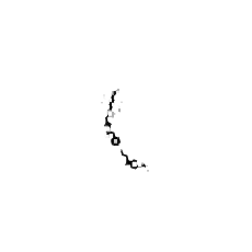 O=C(O)N1CCC2(CC1)CC2CCCOc1cc(F)c(CC(=O)N2CC(CNC[C@H](O)[C@@H](O)[C@H](O)[C@H](O)CO)C2)c(F)c1